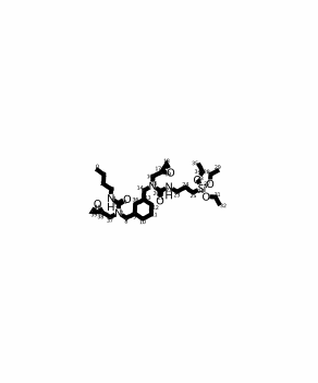 CCCCNC(=O)N(CC1CCCC(CN(CC2CO2)C(=O)NCCC[Si](OCC)(OCC)OCC)C1)CC1CO1